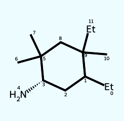 CCC1C[C@H](N)C(C)(C)CC1(C)CC